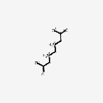 ClC(Cl)C[SiH2]C[SiH2]CC(Cl)Cl